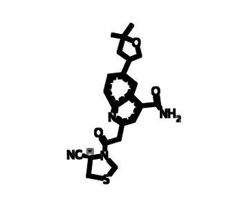 CC1(C)CC(c2ccc3nc(CC(=O)N4CSC[C@H]4C#N)cc(C(N)=O)c3c2)CO1